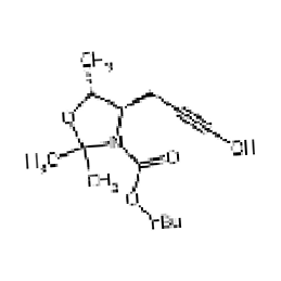 CCCCOC(=O)N1[C@H](CC#CO)[C@@H](C)OC1(C)C